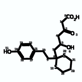 O=C(O)CC(=O)CC(O)CC1(CCc2ccc(O)cc2)SCCCS1